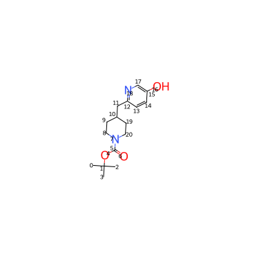 CC(C)(C)OC(=O)N1CCC(Cc2ccc(O)cn2)CC1